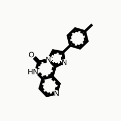 Cc1ccc(-c2cn3c(=O)[nH]c4ccncc4c3n2)cc1